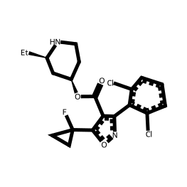 CC[C@@H]1C[C@H](OC(=O)c2c(-c3c(Cl)cccc3Cl)noc2C2(F)CC2)CCN1